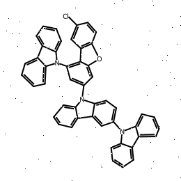 Clc1ccc2oc3cc(-n4c5ccccc5c5cc(-n6c7ccccc7c7ccccc76)ccc54)cc(-n4c5ccccc5c5ccccc54)c3c2c1